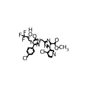 COC(=O)c1nc(Cn2nc(-c3ccc(Cl)cc3)n(C[C@H](O)C(F)(F)F)c2=O)nn1-c1cnccc1Cl